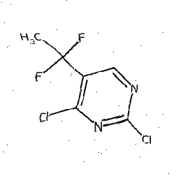 CC(F)(F)c1cnc(Cl)nc1Cl